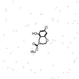 CC(C)(C)OC(=O)N1CCOc2cc(Cl)cc(O)c2C1